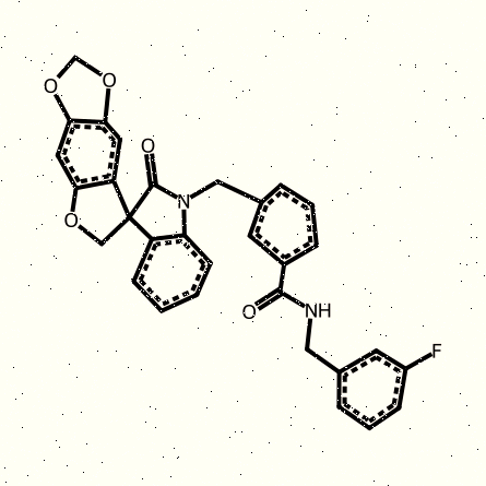 O=C(NCc1cccc(F)c1)c1cccc(CN2C(=O)C3(COc4cc5c(cc43)OCO5)c3ccccc32)c1